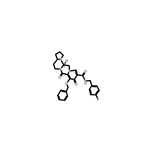 O=C(NCc1ccc(F)cc1)c1cn2c(c(OCc3ccccc3)c1=O)C(=O)N1CCC3CCCN3[C@@H]1C2